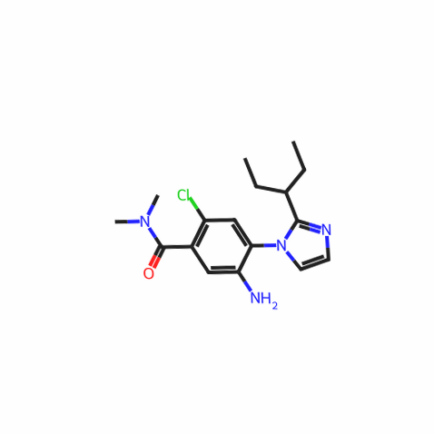 CCC(CC)c1nccn1-c1cc(Cl)c(C(=O)N(C)C)cc1N